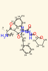 CCC[C@](C(=O)NN)(C(=O)[C@@H](C)N)c1ccc(C)cc1[C@H](C/C=C/c1ccccc1)C(=O)NOC1CCCCO1